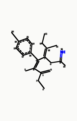 C=C(CC)/C(C)=C(\C(CC(C)=N)=C(\C)CC)c1ccc(C)cc1